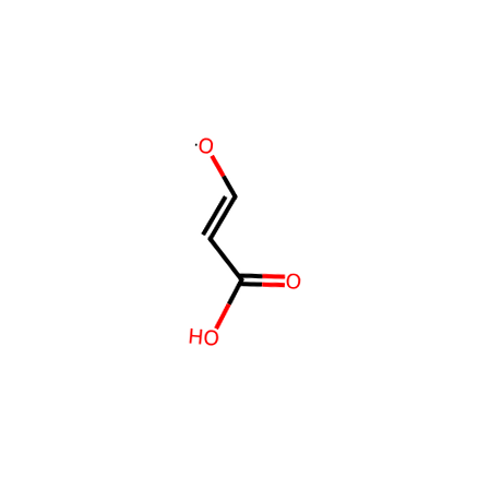 [O]/C=C/C(=O)O